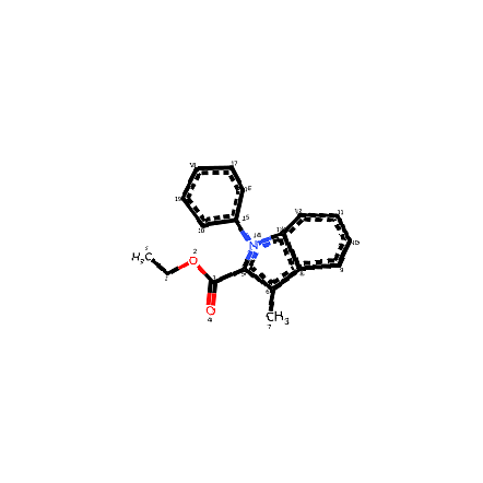 CCOC(=O)c1c(C)c2ccccc2n1-c1ccccc1